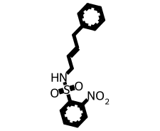 O=[N+]([O-])c1ccccc1S(=O)(=O)NCC=CCc1ccccc1